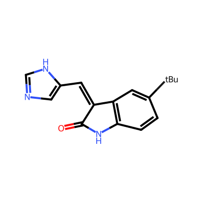 CC(C)(C)c1ccc2c(c1)/C(=C/c1cnc[nH]1)C(=O)N2